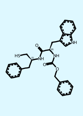 O=C(N[C@H](Cc1c[nH]c2ccccc12)C(=O)N[C@H](CS)Cc1ccccc1)OCc1ccccc1